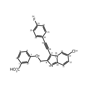 O=C(O)c1cccc(OCc2nc3ccc(Cl)cn3c2C#Cc2ccc(F)cc2)c1